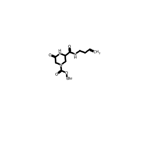 C=CCCNC(=O)C1CN(C(=O)OC(C)(C)C)CC(=O)N1